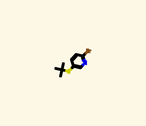 CC(C)(C)Sc1ccc(Br)nc1